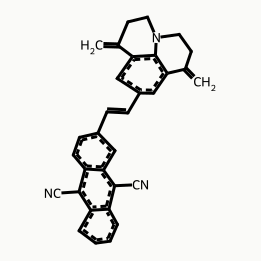 C=C1CCN2CCC(=C)c3cc(C=Cc4ccc5c(C#N)c6ccccc6c(C#N)c5c4)cc1c32